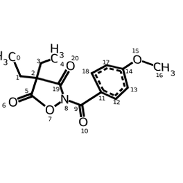 CCC1(CC)C(=O)ON(C(=O)c2ccc(OC)cc2)C1=O